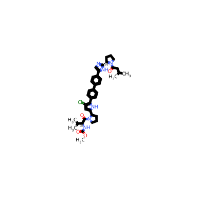 COC(=O)N[C@H](C(=O)N1CCCC1c1cc(Cl)c(-c2ccc(-c3ccc(-c4cnc([C@@H]5CCCN5C(=O)CC(C)C)[nH]4)cc3)cc2)[nH]1)C(C)C